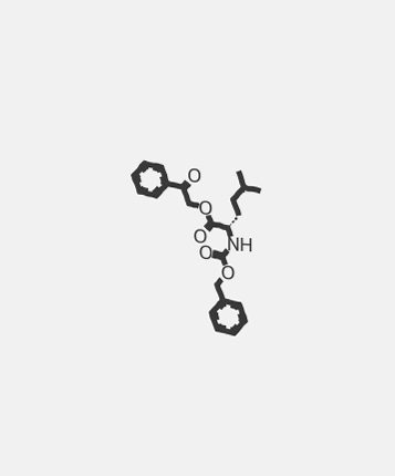 C[C](C)CC[C@H](NC(=O)OCc1ccccc1)C(=O)OCC(=O)c1ccccc1